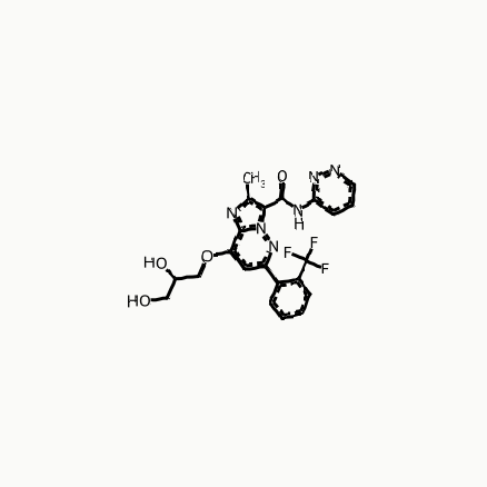 Cc1nc2c(OCC(O)CO)cc(-c3ccccc3C(F)(F)F)nn2c1C(=O)Nc1cccnn1